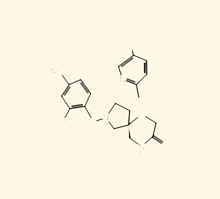 N#Cc1ccc(SN2C[C@H](Sc3ccc(Cl)cn3)[C@@]3(CNC(=O)CO3)C2)c(Cl)c1